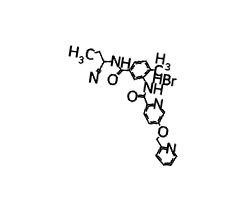 Br.CCC(C#N)NC(=O)c1ccc(C)c(NC(=O)c2ccc(OCc3ccccn3)cn2)c1